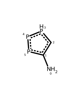 Nc1c[pH]pp1